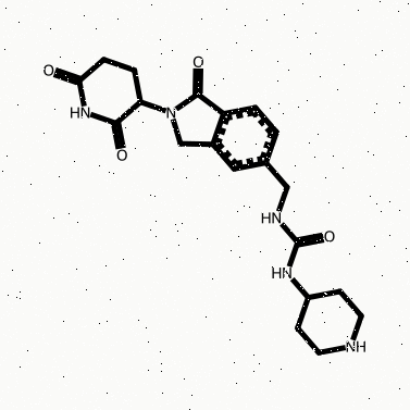 O=C1CCC(N2Cc3cc(CNC(=O)NC4CCNCC4)ccc3C2=O)C(=O)N1